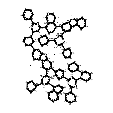 c1ccc(-c2nc(-c3cccc(-c4ccc5c(c4)sc4cc(-c6ccc(-c7nc(-c8ccccc8)nc(-c8ccccc8-c8ccccc8)n7)cc6)c(-c6nc(-c7ccccc7)nc(-c7cccc8ccccc78)n6)cc45)c3)cc(-c3ccc(-c4cc5sc6ccccc6c5cc4-c4nc(-c5ccccc5)nc(-c5ccccc5)n4)c4ccccc34)n2)cc1